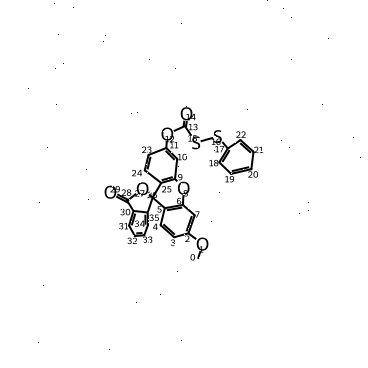 COc1ccc2c(c1)Oc1cc(OC(=O)SSc3ccccc3)ccc1C21OC(=O)c2ccccc21